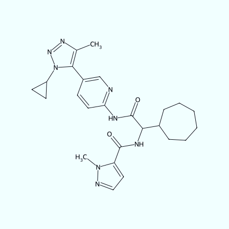 Cc1nnn(C2CC2)c1-c1ccc(NC(=O)C(NC(=O)c2ccnn2C)C2CCCCCC2)nc1